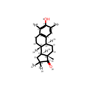 [2H]c1cc2c(c([2H])c1O)CC[C@@H]1[C@@H]2CC[C@]2(C)C(=O)C([2H])([2H])C[C@@H]12